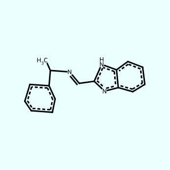 CC(/N=C/c1nc2ccccc2[nH]1)c1ccccc1